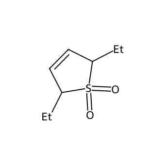 CCC1C=CC(CC)S1(=O)=O